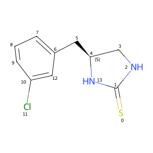 S=C1NC[C@H](Cc2cccc(Cl)c2)N1